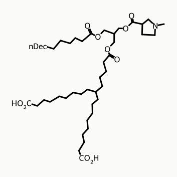 CCCCCCCCCCCCCCCC(=O)OCC(COC(=O)CCCCC(CCCCCCCCC(=O)O)CCCCCCCCC(=O)O)COC(=O)C1CCN(C)C1